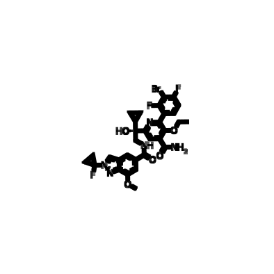 CCOc1c(C(N)=O)cc([C@@](O)(CNC(=O)c2cc(OC)c3nn(C4(F)CC4)cc3c2)C2CC2)nc1-c1ccc(F)c(Br)c1F